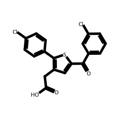 O=C(O)Cc1cc(C(=O)c2cccc(Cl)c2)sc1-c1ccc(Cl)cc1